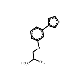 CC(COc1cccc(-c2ccoc2)c1)C(=O)O